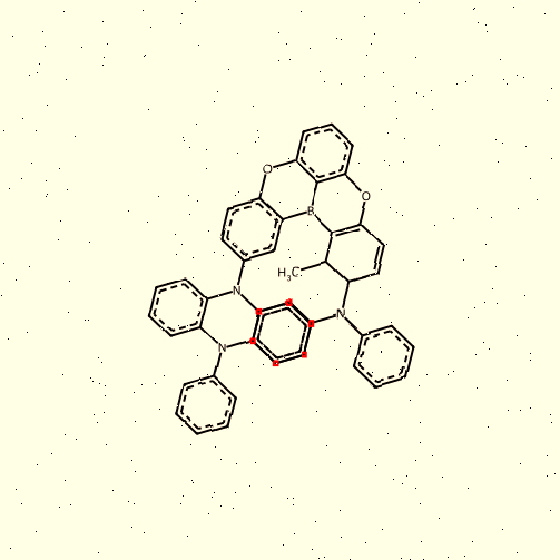 CC1C2=C(C=CC1N(c1ccccc1)c1ccccc1)Oc1cccc3c1B2c1cc(N2c4ccccc4N(c4ccccc4)c4ccccc42)ccc1O3